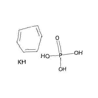 O=P(O)(O)O.[KH].c1ccccc1